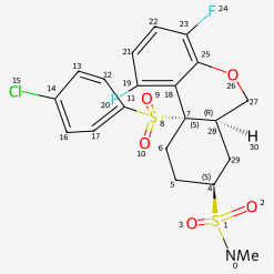 CNS(=O)(=O)[C@H]1CC[C@@]2(S(=O)(=O)c3ccc(Cl)cc3)c3c(F)ccc(F)c3OC[C@H]2C1